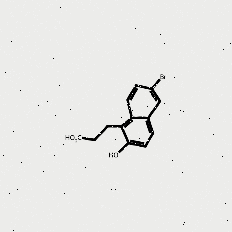 O=C(O)CCc1c(O)ccc2cc(Br)ccc12